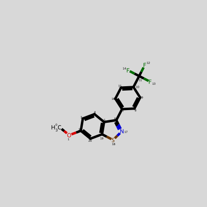 COc1ccc2c(-c3ccc(C(F)(F)F)cc3)nsc2c1